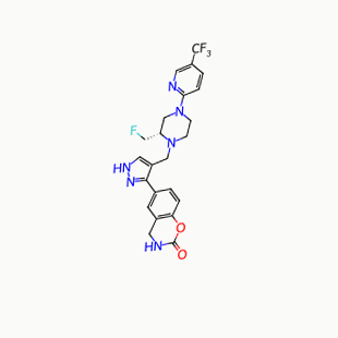 O=C1NCc2cc(-c3n[nH]cc3CN3CCN(c4ccc(C(F)(F)F)cn4)C[C@H]3CF)ccc2O1